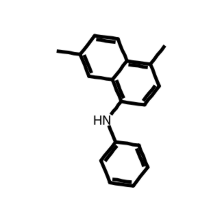 Cc1ccc2c(C)ccc(Nc3ccccc3)c2c1